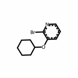 Brc1ncccc1OC1CCCCC1